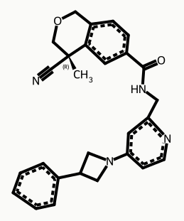 C[C@@]1(C#N)COCc2ccc(C(=O)NCc3cc(N4CC(c5ccccc5)C4)ccn3)cc21